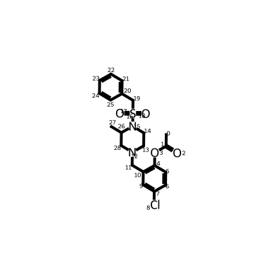 CC(=O)Oc1ccc(Cl)cc1CN1CCN(S(=O)(=O)Cc2ccccc2)C(C)C1